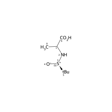 CC(N[S@+]([O-])C(C)(C)C)C(=O)O